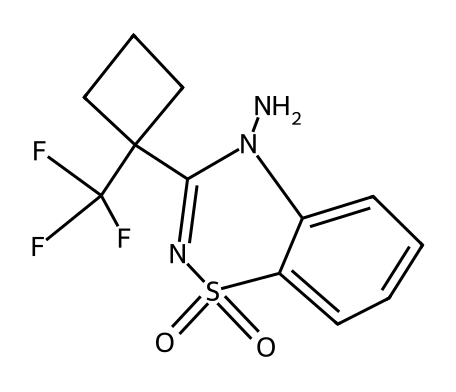 NN1C(C2(C(F)(F)F)CCC2)=NS(=O)(=O)c2ccccc21